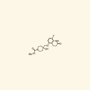 CC(C)(C)OC(=O)N1CCC(O)(COc2ccc(F)c3c2CCC(=O)N3)CC1